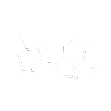 Cc1cnc(Cl)nc1-c1c[nH]c2c(N)cccc12